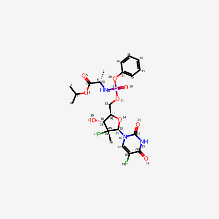 CC(C)OC(=O)[C@H](C)NP(=O)(OC[C@H]1O[C@@H](n2cc(F)c(=O)[nH]c2=O)[C@](C)(F)[C@@H]1O)Oc1ccccc1